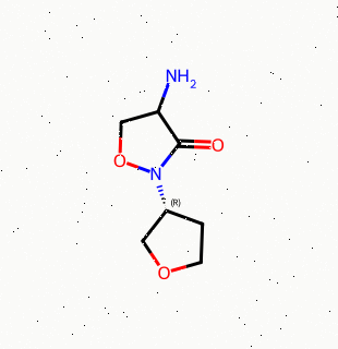 NC1CON([C@@H]2CCOC2)C1=O